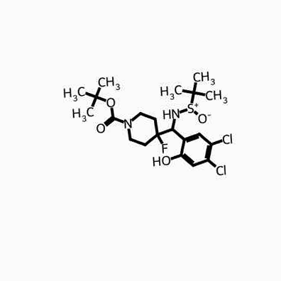 CC(C)(C)OC(=O)N1CCC(F)(C(N[S+]([O-])C(C)(C)C)c2cc(Cl)c(Cl)cc2O)CC1